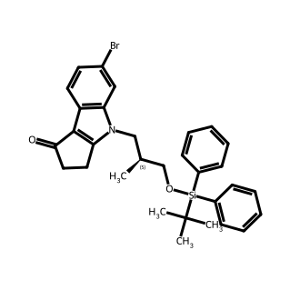 C[C@H](CO[Si](c1ccccc1)(c1ccccc1)C(C)(C)C)Cn1c2c(c3ccc(Br)cc31)C(=O)CC2